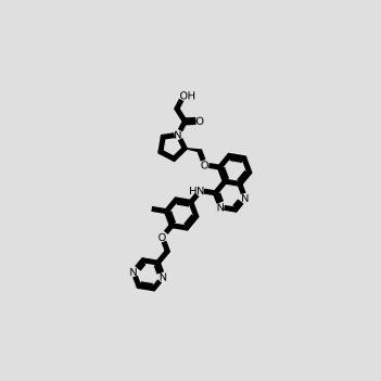 Cc1cc(Nc2ncnc3cccc(OC[C@H]4CCCN4C(=O)CO)c23)ccc1OCc1cnccn1